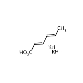 C/C=C/C=C/C(=O)O.[KH].[KH]